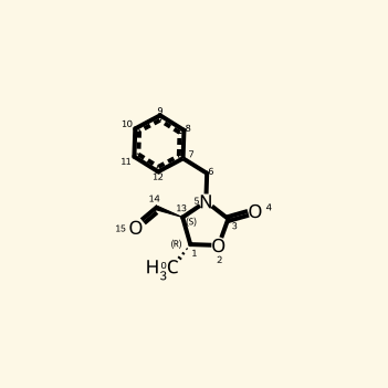 C[C@H]1OC(=O)N(Cc2ccccc2)[C@@H]1C=O